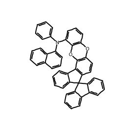 c1ccc(N(c2cccc3c2Oc2c(ccc4c2-c2ccccc2C42c4ccccc4-c4ccccc42)O3)c2cccc3ccccc23)cc1